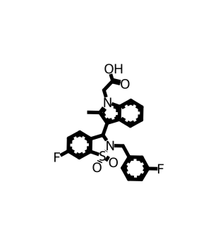 Cc1c(C2c3ccc(F)cc3S(=O)(=O)N2Cc2cccc(F)c2)c2ccccc2n1CC(=O)O